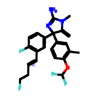 C=C1N(C)C(N)=NC1(c1ccc(OC(F)F)c(C)c1)c1ccc(F)c(/C=C/CCF)c1